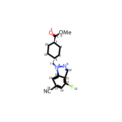 COC(=O)[C@H]1CC[C@H](Cn2ncc3c(F)cc(C#N)cc32)CC1